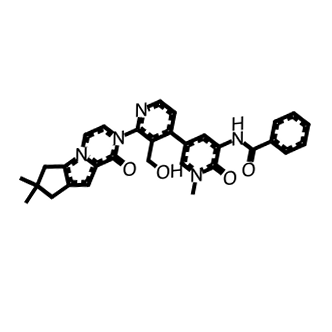 Cn1cc(-c2ccnc(-n3ccn4c5c(cc4c3=O)CC(C)(C)C5)c2CO)cc(NC(=O)c2ccccc2)c1=O